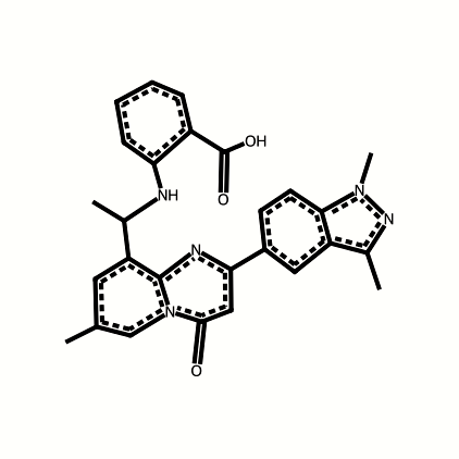 Cc1cc(C(C)Nc2ccccc2C(=O)O)c2nc(-c3ccc4c(c3)c(C)nn4C)cc(=O)n2c1